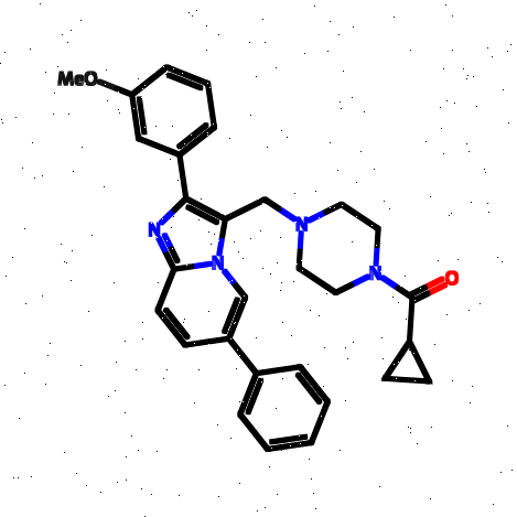 COc1cccc(-c2nc3ccc(-c4ccccc4)cn3c2CN2CCN(C(=O)C3CC3)CC2)c1